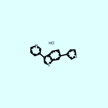 Cl.c1cncc(-c2csc3cc(-c4ccsc4)ccc23)c1